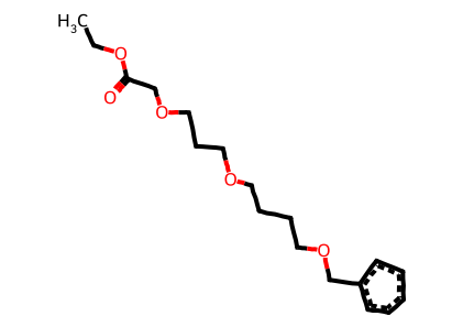 CCOC(=O)COCCCOCCCCOCc1ccccc1